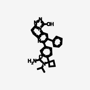 CC(C)N(C(N)=O)C1(c2ccc(-c3nc4ccc5nnc(O)n5c4cc3-c3ccccc3)cc2)CCC1